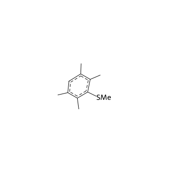 CSc1c(C)c(C)cc(C)c1C